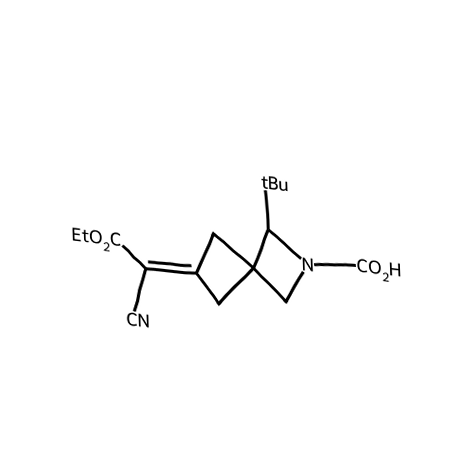 CCOC(=O)C(C#N)=C1CC2(C1)CN(C(=O)O)C2C(C)(C)C